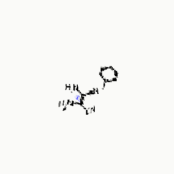 N#C/C(N)=C(/N)C#[N+]Cc1ccccc1